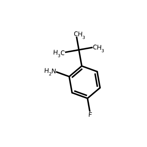 CC(C)(C)c1ccc(F)cc1N